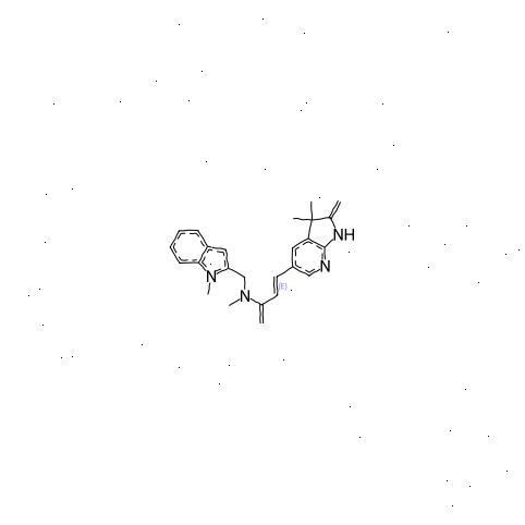 C=C(/C=C/c1cnc2c(c1)C(C)(C)C(=C)N2)N(C)Cc1cc2ccccc2n1C